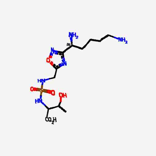 CC(O)C(NS(=O)(=O)NCc1nc([C@@H](N)CCCCN)no1)C(=O)O